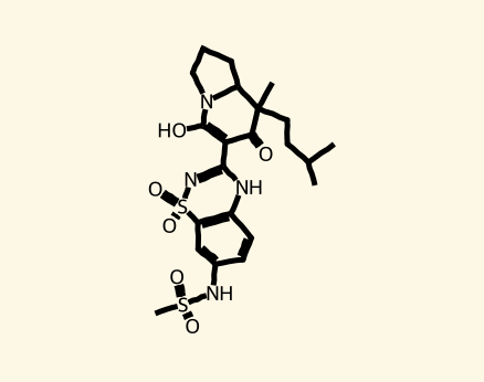 CC(C)CCC1(C)C(=O)C(C2=NS(=O)(=O)c3cc(NS(C)(=O)=O)ccc3N2)=C(O)N2CCCC21